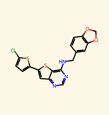 Clc1ccc(-c2cc3ncnc(NCc4ccc5c(c4)OCO5)c3s2)s1